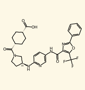 O=C(Nc1ccc(N[C@H]2CCN(C(=O)[C@H]3CC[C@@H](C(=O)O)CC3)C2)nc1)c1nc(-c2ccccc2)oc1C(F)(F)F